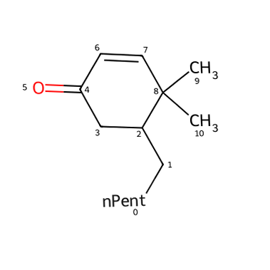 CCCCCCC1CC(=O)C=CC1(C)C